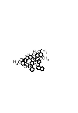 Cc1cc2c(cc1N1B3c4c(cc5oc6ccccc6c5c4-n4c5ccc6ccccc6c5c5cccc3c54)-c3c1ccc1sc4cc5c(cc4c31)C(C)(C)CCC5(C)C)C(C)(C)CCC2(C)C